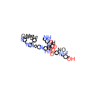 COc1cc(CN2CCN(C3CC4(CCN(c5ccc(C(=O)NS(=O)(=O)c6ccc(NCC7CCC(C)(O)CC7)c([N+](=O)[O-])c6)c(N6c7cc8cc[nH]c8nc7O[C@H]7COCC[C@@H]76)c5)CC4)C3)[C@H](c3ccccc3C)C2)cnc1OC